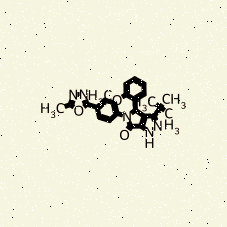 COc1ccccc1C1c2c(C(C)(C)C)n[nH]c2C(=O)N1c1ccc(-c2nnc(C)o2)cc1